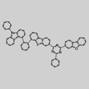 c1ccc(-c2nc(-c3ccc4c(c3)oc3ccccc34)nc(-c3ccc4c(c3)sc3c(-c5ccccc5-c5cccc6c5c5ccccc5n6-c5ccccc5)cccc34)n2)cc1